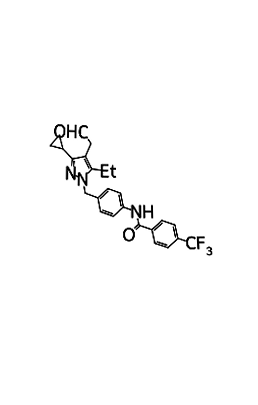 CCc1c(CC=O)c(C2CC2)nn1Cc1ccc(NC(=O)c2ccc(C(F)(F)F)cc2)cc1